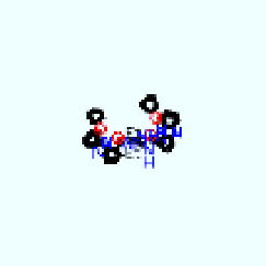 CCC(NC(=O)c1cccc2nc3cccc(Oc4ccccc4)c3nc12)C(N)C(CC)NC(=O)c1cccc2nc3cccc(Oc4ccccc4)c3nc12